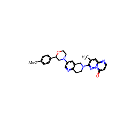 COc1ccc(C2CN(c3cnc4c(c3)CN(c3nn5c(=O)ccnc5cc3C)CC4)CCO2)cc1